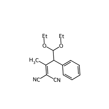 CCOC(OCC)C(C(C)=C(C#N)C#N)c1ccccc1